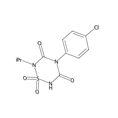 CC(C)N1C(=O)N(c2ccc(Cl)cc2)C(=O)NS1(=O)=O